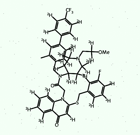 [2H]c1c([2H])c(F)c(F)c(CSc2c([2H])c(=O)c3c([2H])c([2H])c([2H])c([2H])c3n2CC(=O)N(Cc2c([2H])c([2H])c(-c3c([2H])c([2H])c(C(F)(F)F)c([2H])c3[2H])c([2H])c2C)C2([2H])C([2H])([2H])C([2H])([2H])N(CC([2H])([2H])OC)C([2H])([2H])C2([2H])[2H])c1[2H]